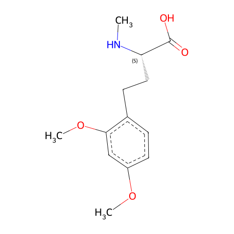 CN[C@@H](CCc1ccc(OC)cc1OC)C(=O)O